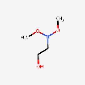 CON(CCO)OC